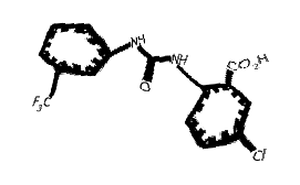 O=C(Nc1cccc(C(F)(F)F)c1)Nc1ccc(Cl)cc1C(=O)O